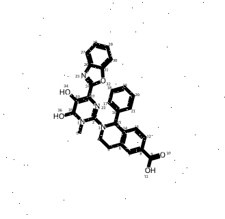 CN1C(N2CCc3cc(C(=O)O)ccc3C2c2ccccc2)=NC(c2nc3ccccc3o2)=C(O)C1O